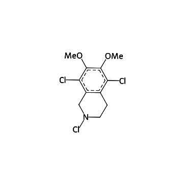 COc1c(Cl)c2c(c(Cl)c1OC)CN(Cl)CC2